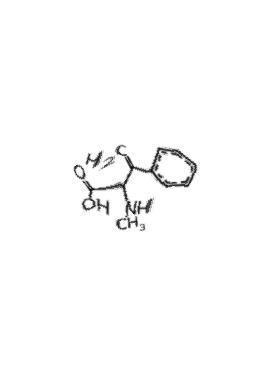 C=C(c1ccccc1)C(NC)C(=O)O